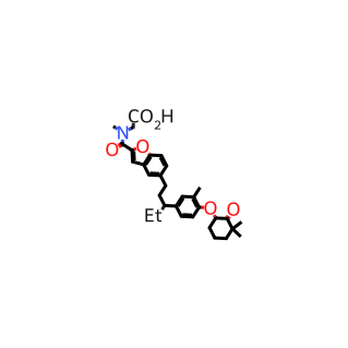 CCC(CCc1ccc2oc(C(=O)N(C)CC(=O)O)cc2c1)c1ccc(OC2CCCC(C)(C)C2=O)c(C)c1